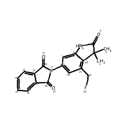 CC1(C)C(=O)Nc2cc(N3C(=O)c4ccccc4C3=O)cc(CF)c21